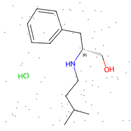 CC(C)CCN[C@@H](CO)Cc1ccccc1.Cl